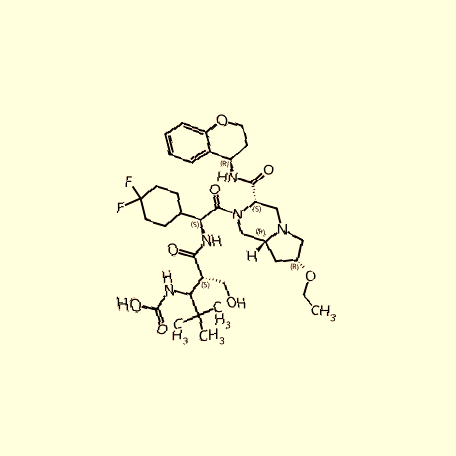 CCO[C@@H]1C[C@@H]2CN(C(=O)[C@@H](NC(=O)[C@H](CO)C(NC(=O)O)C(C)(C)C)C3CCC(F)(F)CC3)[C@H](C(=O)N[C@@H]3CCOc4ccccc43)CN2C1